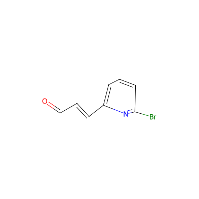 O=CC=Cc1cccc(Br)n1